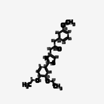 CCOc1ccc(-c2nc(CC(=O)Cc3cccc(OC)c3)cs2)cc1OCC